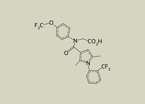 Cc1cc(C(=O)N(CC(=O)O)c2ccc(OC(F)(F)F)cc2)c(C)n1-c1ccccc1C(F)(F)F